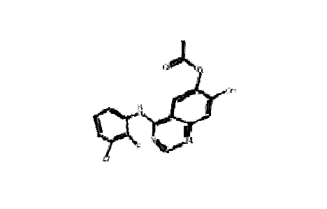 CC(=O)Oc1cc2c(Nc3cccc(Cl)c3F)ncnc2cc1O